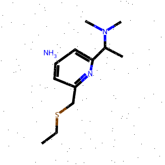 CCSCc1cccc(C(C)N(C)C)n1.N